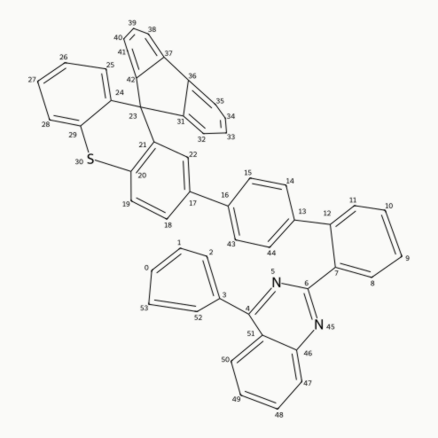 c1ccc(-c2nc(-c3ccccc3-c3ccc(-c4ccc5c(c4)C4(c6ccccc6S5)c5ccccc5-c5ccccc54)cc3)nc3ccccc23)cc1